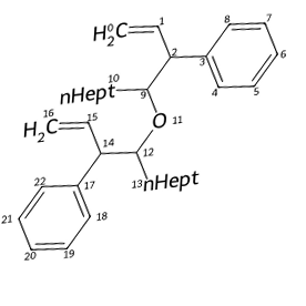 C=CC(c1ccccc1)C(CCCCCCC)OC(CCCCCCC)C(C=C)c1ccccc1